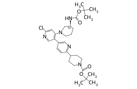 CC(C)(C)OC(=O)N[C@H]1CCCN(c2cc(Cl)ncc2-c2ccc(C3CCN(C(=O)OC(C)(C)C)CC3)nc2)C1